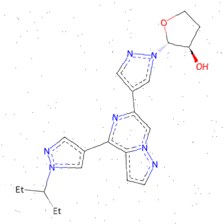 CCC(CC)n1cc(-c2nc(-c3cnn([C@@H]4OCC[C@H]4O)c3)cn3nccc23)cn1